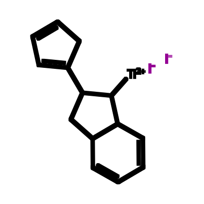 [I-].[I-].[Ti+2][CH]1C(C2=CC=CC2)CC2C=CC=CC21